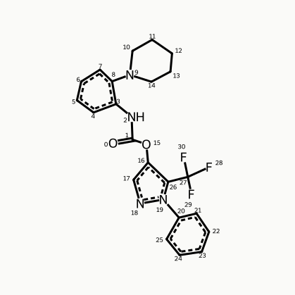 O=C(Nc1ccccc1N1CCCCC1)Oc1cnn(-c2ccccc2)c1C(F)(F)F